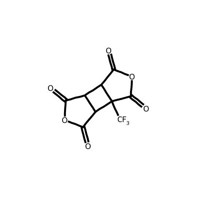 O=C1OC(=O)C2C1C1C(=O)OC(=O)C21C(F)(F)F